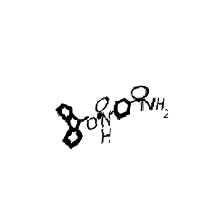 NC(=O)[C@H]1CC[C@@H](NC(=O)OCC2c3ccccc3-c3ccccc32)CC1